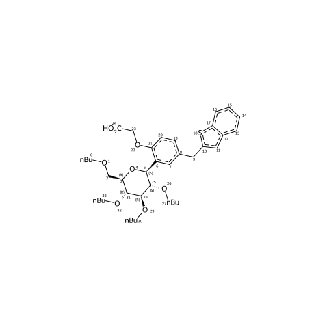 CCCCOC[C@H]1O[C@@H](c2cc(Cc3cc4ccccc4s3)ccc2OCC(=O)O)[C@H](OCCCC)[C@@H](OCCCC)[C@@H]1OCCCC